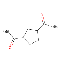 CC(C)(C)C(=O)C1CCC(C(=O)C(C)(C)C)C1